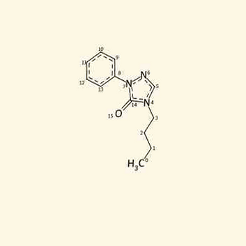 CCCCn1cnn(-c2ccccc2)c1=O